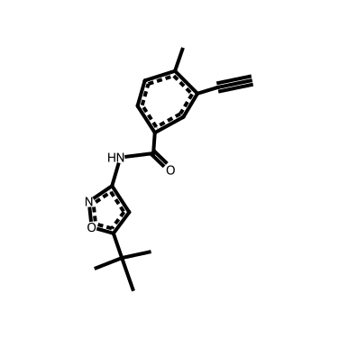 C#Cc1cc(C(=O)Nc2cc(C(C)(C)C)on2)ccc1C